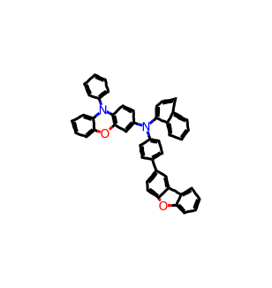 c1ccc(N2c3ccccc3Oc3cc(N(c4ccc(-c5ccc6oc7ccccc7c6c5)cc4)c4cccc5ccccc45)ccc32)cc1